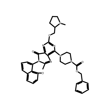 Cc1nc2c(N3CCN(C(=O)OCc4ccccc4)CC3)nc(OCC3CCCN3C)nc2c(=O)n1-c1cccc2cccc(Cl)c12